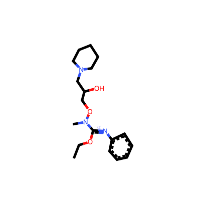 CCO/C(=N\c1ccccc1)N(C)OCC(O)CN1CCCCC1